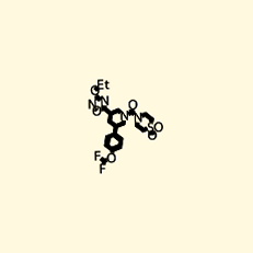 CCOc1noc(C2CC(c3ccc(OC(F)F)cc3)CN(C(=O)N3CCS(=O)(=O)CC3)C2)n1